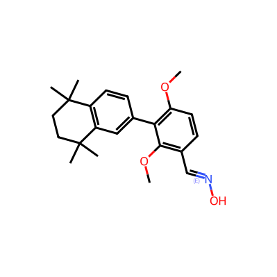 COc1ccc(/C=N/O)c(OC)c1-c1ccc2c(c1)C(C)(C)CCC2(C)C